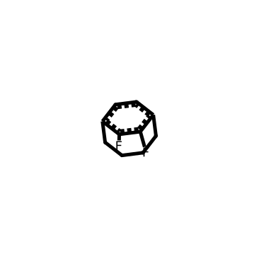 Fc1c2ccc(c1F)CCCC2